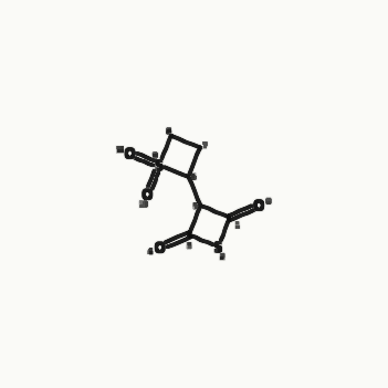 O=C1SC(=O)C1C1CCS1(=O)=O